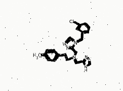 Cc1ccc(CCN(Cc2nnc[nH]2)Cc2nncn2Cc2cccc(Cl)c2)cc1